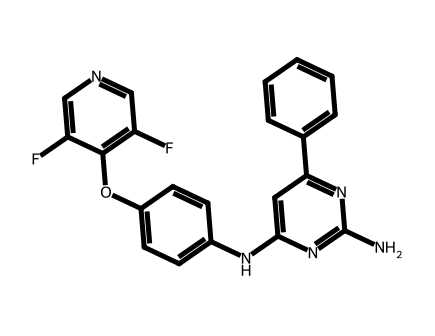 Nc1nc(Nc2ccc(Oc3c(F)cncc3F)cc2)cc(-c2ccccc2)n1